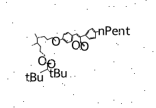 CCCCCc1ccc(-c2cc3ccc(OCCCC(C)C(C)CCCOC(=O)C(CC(C)(C)C)C(C)(C)C)cc3oc2=O)cc1